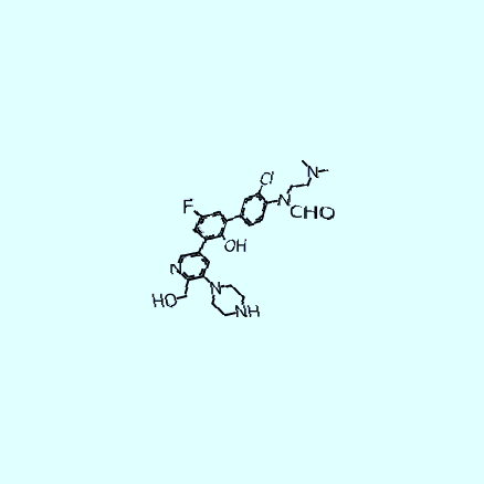 CN(C)CCN(C=O)c1ccc(-c2cc(F)cc(-c3cnc(CO)c(N4CCNCC4)c3)c2O)cc1Cl